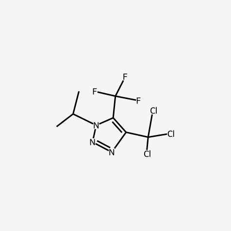 CC(C)n1nnc(C(Cl)(Cl)Cl)c1C(F)(F)F